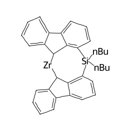 CCCC[Si]1(CCCC)c2cccc3c2[CH]([Zr][CH]2c4ccccc4-c4cccc1c42)c1ccccc1-3